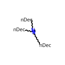 CCCCCCCCCCCCCCCCCCCN1C=CN(CCCCCCCCCCCCCCCC)C1CCCCCCCCCCCCCCC